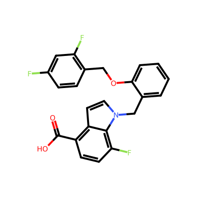 O=C(O)c1ccc(F)c2c1ccn2Cc1ccccc1OCc1ccc(F)cc1F